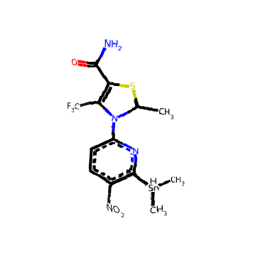 CC1SC(C(N)=O)=C(C(F)(F)F)N1c1ccc([N+](=O)[O-])[c]([SnH]([CH3])[CH3])n1